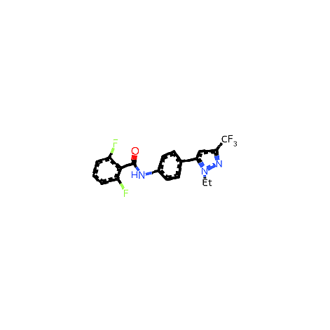 CCn1nc(C(F)(F)F)cc1-c1ccc(NC(=O)c2c(F)cccc2F)cc1